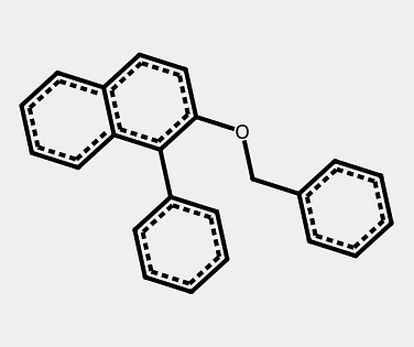 c1ccc(COc2ccc3ccccc3c2-c2ccccc2)cc1